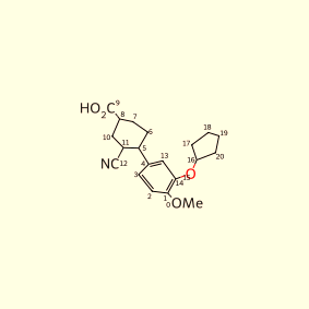 COc1ccc(C2CCC(C(=O)O)CC2C#N)cc1OC1CCCC1